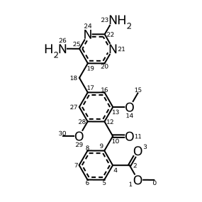 COC(=O)c1ccccc1C(=O)c1c(OC)cc(Cc2cnc(N)nc2N)cc1OC